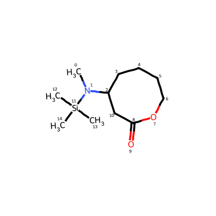 CN(C1CCCCOC(=O)C1)[Si](C)(C)C